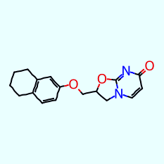 O=c1ccn2c(n1)OC(COc1ccc3c(c1)CCCC3)C2